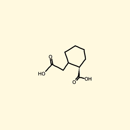 O=C(O)CC1CCCC[C@H]1C(=O)O